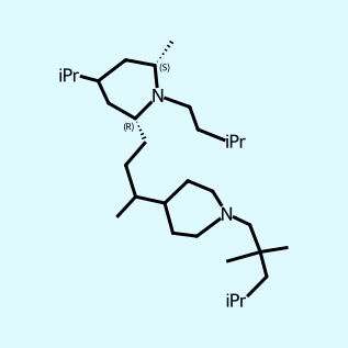 CC(C)CCN1[C@H](CCC(C)C2CCN(CC(C)(C)CC(C)C)CC2)CC(C(C)C)C[C@@H]1C